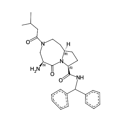 CC(C)CC(=O)N1CC[C@H]2CC[C@@H](C(=O)NC(c3ccccc3)c3ccccc3)N2C(=O)[C@@H](N)C1